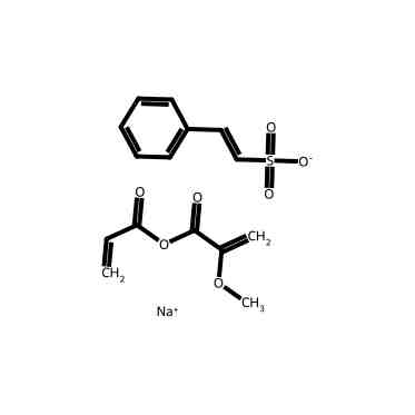 C=CC(=O)OC(=O)C(=C)OC.O=S(=O)([O-])C=Cc1ccccc1.[Na+]